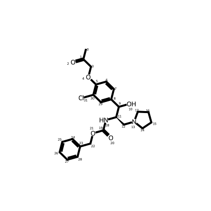 CC(=O)COc1ccc(C(O)[C@@H](CN2CCCC2)NC(=O)OCc2ccccc2)cc1Cl